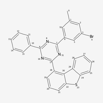 Cc1cc(Br)cc(-c2nc(-c3ccccc3)nc(-c3cccc4sc5ccccc5c34)n2)c1